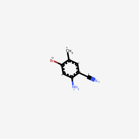 Cc1cc(C#N)c(N)cc1Br